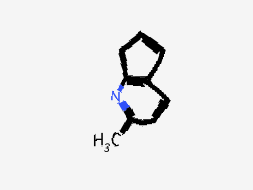 Cc1ccc2c(n1)CC=C2